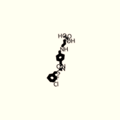 O=P(O)(O)CCCNCc1ccc(-c2nnc(SCc3cccc(Cl)c3F)o2)cc1